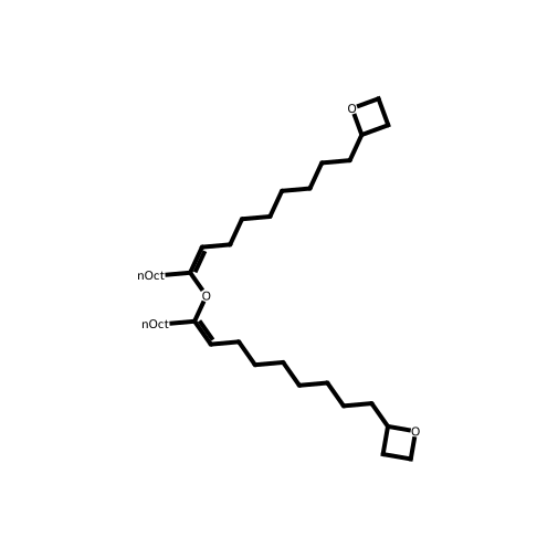 CCCCCCCC/C(=C/CCCCCCCC1CCO1)O/C(=C\CCCCCCCC1CCO1)CCCCCCCC